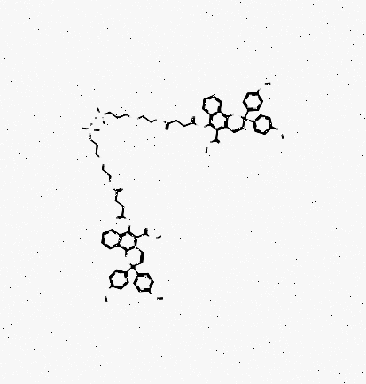 COC(=O)c1c2c(c3ccccc3c1OC(=O)CCC(=O)OCCOCCC[Si](C)(C)O[Si](C)(C)CCCOCCOC(=O)CCC(=O)Oc1c(C(=O)OC)c3c(c4ccccc14)OC(c1ccc(OC)cc1)(c1ccc(OC)cc1)C=C3)OC(c1ccc(OC)cc1)(c1ccc(OC)cc1)C=C2